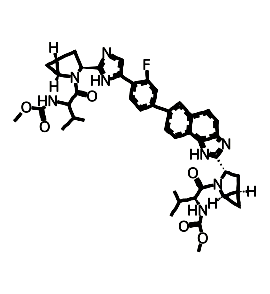 COC(=O)NC(C(=O)N1[C@@H]2C[C@@H]2C[C@H]1c1ncc(-c2ccc(-c3ccc4c(ccc5nc([C@@H]6C[C@H]7C[C@H]7N6C(=O)[C@@H](NC(=O)OC)C(C)C)[nH]c54)c3)cc2F)[nH]1)C(C)C